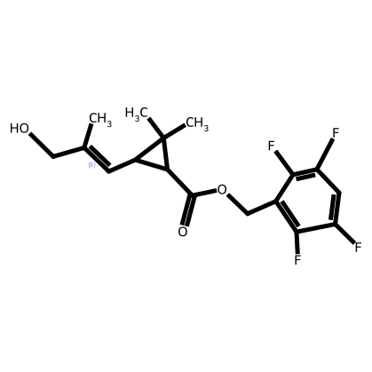 C/C(=C\C1C(C(=O)OCc2c(F)c(F)cc(F)c2F)C1(C)C)CO